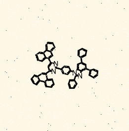 c1ccc(-c2cc(-c3ccccc3)c3nc(-c4ccccc4)n(-c4ccc(-c5nc(-c6cc7ccccc7c7ccccc67)cc(-c6cc7ccccc7c7ccccc67)n5)cc4)c3c2)cc1